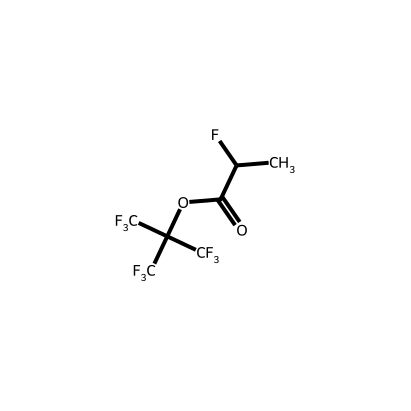 CC(F)C(=O)OC(C(F)(F)F)(C(F)(F)F)C(F)(F)F